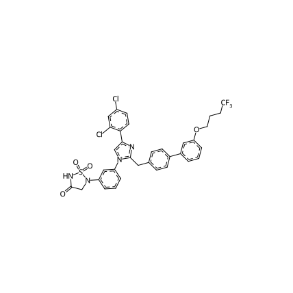 O=C1CN(c2cccc(-n3cc(-c4ccc(Cl)cc4Cl)nc3Cc3ccc(-c4cccc(OCCCC(F)(F)F)c4)cc3)c2)S(=O)(=O)N1